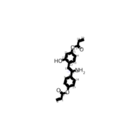 C=CC(=O)Oc1ccc(/C(N)=C/c2ccc(OC(=O)C=C)cc2O)cc1